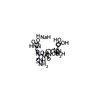 Nc1nc(/C(=N/OCc2ncc(O)c(=O)[nH]2)C(=O)N[C@@H]2C(=O)N3C(C(=O)O)=C(Cn4nnnc4-c4ccc(O)c(O)c4)CS[C@H]23)cs1.[NaH]